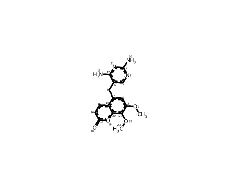 COc1cc(Cc2cnc(N)nc2N)c2ccc(=O)oc2c1OC